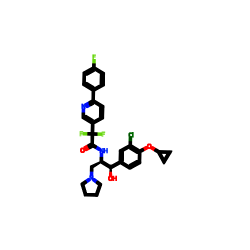 O=C(N[C@H](CN1CCCC1)[C@H](O)c1ccc(OC2CC2)c(Cl)c1)C(F)(F)c1ccc(-c2ccc(F)cc2)nc1